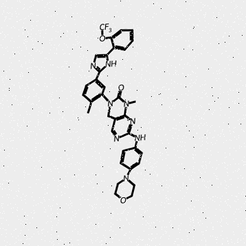 Cc1ccc(-c2ncc(-c3ccccc3OC(F)(F)F)[nH]2)cc1N1Cc2cnc(Nc3ccc(N4CCOCC4)cc3)nc2N(C)C1=O